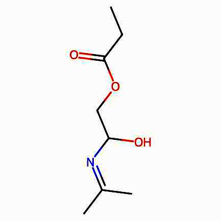 CCC(=O)OCC(O)N=C(C)C